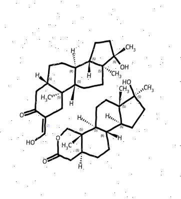 C[C@]12C/C(=C/O)C(=O)C[C@@H]1CC[C@@H]1[C@@H]2CC[C@@]2(C)[C@H]1CC[C@]2(C)O.C[C@]12COC(=O)C[C@@H]1CC[C@@H]1[C@@H]2CC[C@@]2(C)[C@H]1CC[C@]2(C)O